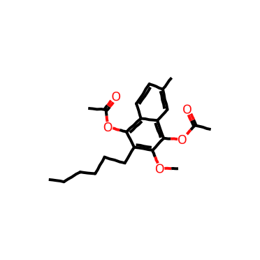 CCCCCCc1c(OC)c(OC(C)=O)c2cc(C)ccc2c1OC(C)=O